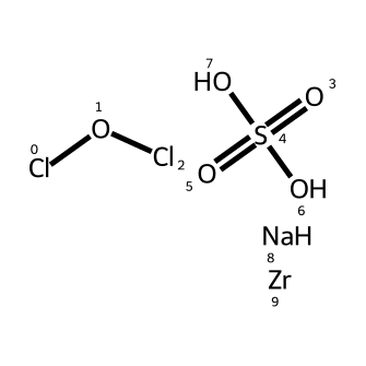 ClOCl.O=S(=O)(O)O.[NaH].[Zr]